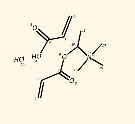 C=CC(=O)O.C=CC(=O)OC(C)[N+](C)(C)C.Cl